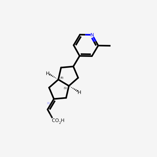 Cc1cc(C2C[C@H]3C/C(=C\C(=O)O)C[C@H]3C2)ccn1